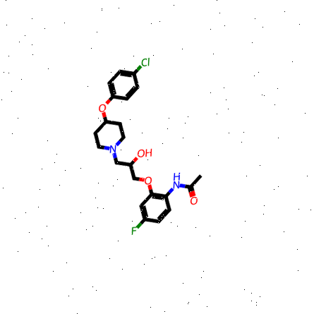 CC(=O)Nc1ccc(F)cc1OCC(O)CN1CCC(Oc2ccc(Cl)cc2)CC1